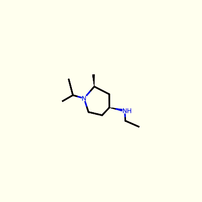 CCN[C@H]1CCN(C(C)C)[C@@H](C)C1